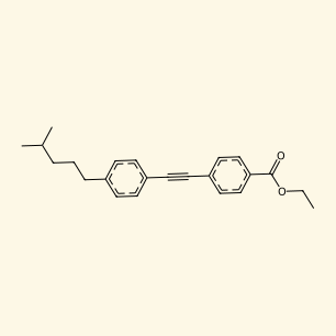 CCOC(=O)c1ccc(C#Cc2ccc(CCCC(C)C)cc2)cc1